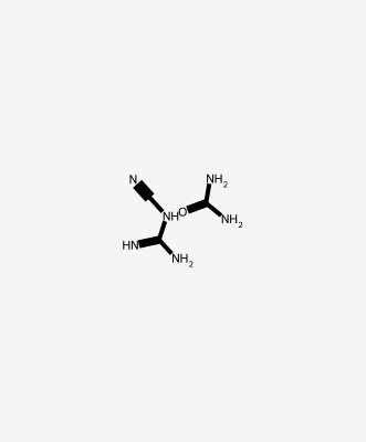 N#CNC(=N)N.NC(N)=O